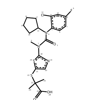 CN(C(=O)N(c1ccc(F)cc1Cl)C1CCCC1)c1ncc(SC(C)(C)C(=O)O)s1